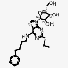 CCSc1nc(NCCCCc2ccccc2)c2ncn([C@@H]3O[C@H](CO)[C@@H](O)[C@H]3O)c2n1